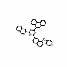 c1ccc2cc(-c3nc(-c4ccc5ccc6c7cnccc7oc6c5c4)nc(-c4cc5ccccc5c5ccccc45)n3)ccc2c1